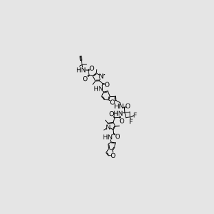 C#CC(C)(C)NC(=O)C(=O)c1c(C)c(C(=O)Nc2ccc3oc(CNC(=O)C4(NC(=O)C(=O)c5c(C)c(C(=O)Nc6ccc7occc7c6)n(C)c5C)CC(F)(F)C4)cc3c2)n(C)c1C